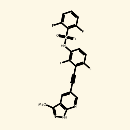 COc1n[nH]c2ncc(C#Cc3c(F)ccc(NS(=O)(=O)c4c(F)cccc4F)c3F)cc12